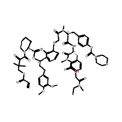 C=CC(=O)OCC(C)(C)C(=O)C(=O)N1CCCC[C@H]1C(=O)O[C@H](CCc1ccc(OC)c(OC)c1)c1cccc(OCC(=O)N(C)[C@@H](Cc2ccc(OC(=O)N3CCOCC3)cc2)C(=O)N[C@H](Cc2ccccc2)C(=O)N(C)CC(=O)NCC(=O)N(C)CC)c1F